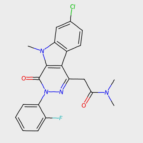 CN(C)C(=O)Cc1nn(-c2ccccc2F)c(=O)c2c1c1ccc(Cl)cc1n2C